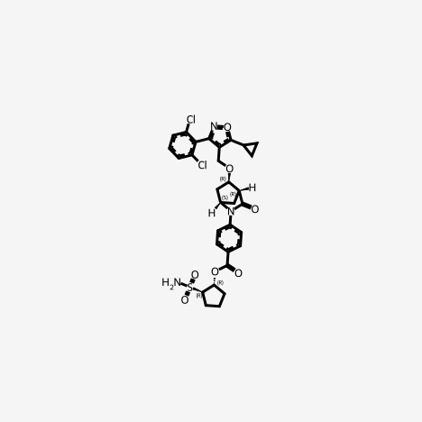 NS(=O)(=O)[C@@H]1CCC[C@H]1OC(=O)c1ccc(N2C(=O)[C@@H]3C[C@H]2C[C@H]3OCc2c(-c3c(Cl)cccc3Cl)noc2C2CC2)cc1